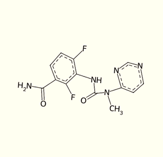 CN(C(=O)Nc1c(F)ccc(C(N)=O)c1F)c1ccncn1